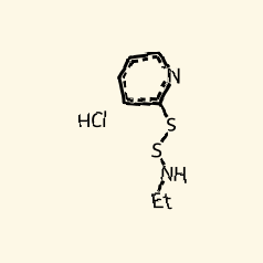 CCNSSc1ccccn1.Cl